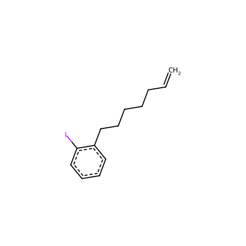 C=CCCCCCc1ccccc1I